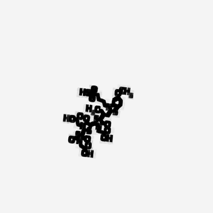 CC/C(C=C1Sc2ccc(OC)cc2N1CCCCS(=O)(=O)O)=c1\s/c(=c2/s/c(=C3/SC(=O)N(CC(=O)O)C3=O)n(CC(=O)O)c2=O)n(CC(=O)O)c1=O